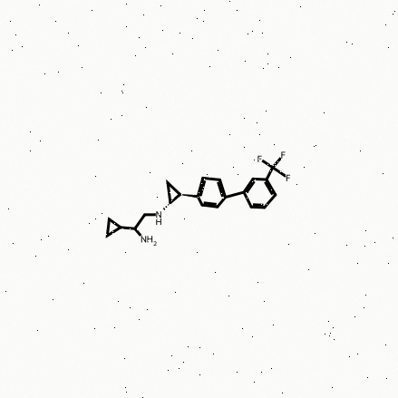 NC(CN[C@@H]1C[C@H]1c1ccc(-c2cccc(C(F)(F)F)c2)cc1)C1CC1